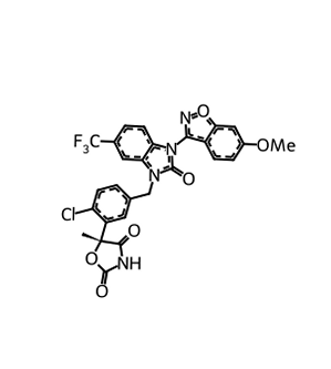 COc1ccc2c(-n3c(=O)n(Cc4ccc(Cl)c([C@@]5(C)OC(=O)NC5=O)c4)c4cc(C(F)(F)F)ccc43)noc2c1